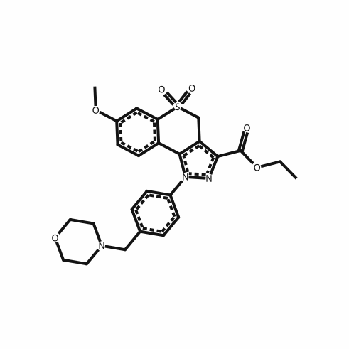 CCOC(=O)c1nn(-c2ccc(CN3CCOCC3)cc2)c2c1CS(=O)(=O)c1cc(OC)ccc1-2